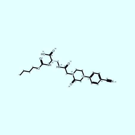 CCCCOC(=O)N[C@@H](CNC(=O)CN1CCN(c2ccc(C#N)cc2)CC1=O)C(=O)O